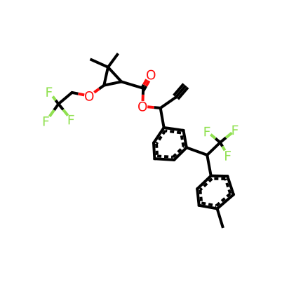 C#CC(OC(=O)C1C(OCC(F)(F)F)C1(C)C)c1cccc(C(c2ccc(C)cc2)C(F)(F)F)c1